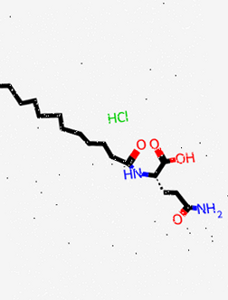 CCCCCCCCCCCC(=O)N[C@@H](CCC(N)=O)C(=O)O.Cl